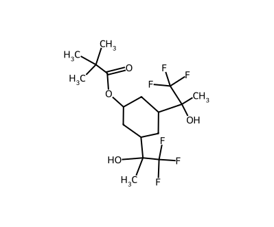 CC(C)(C)C(=O)OC1CC(C(C)(O)C(F)(F)F)CC(C(C)(O)C(F)(F)F)C1